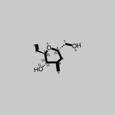 C=C[C@H]1O[C@H](CO)CC(=C)[C@@H]1O